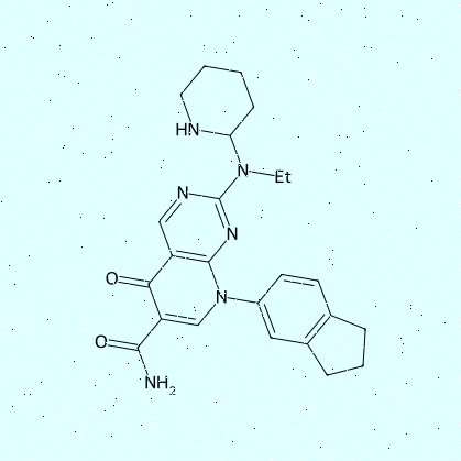 CCN(c1ncc2c(=O)c(C(N)=O)cn(-c3ccc4c(c3)CCC4)c2n1)C1CCCCN1